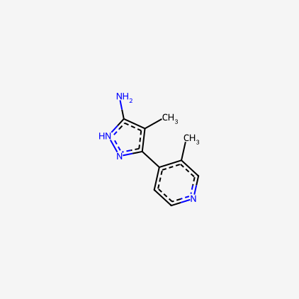 Cc1cnccc1-c1n[nH]c(N)c1C